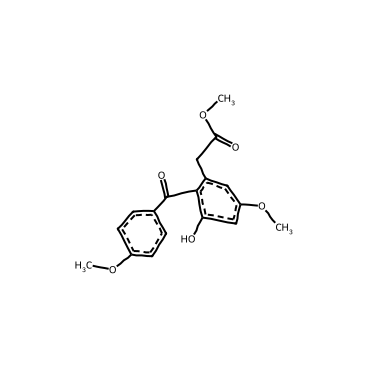 COC(=O)Cc1cc(OC)cc(O)c1C(=O)c1ccc(OC)cc1